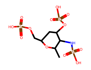 CC1OC(COS(=O)(=O)O)CC(OS(=O)(=O)O)C1NS(=O)(=O)O